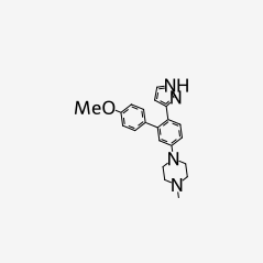 COc1ccc(-c2cc(N3CCN(C)CC3)ccc2-c2cc[nH]n2)cc1